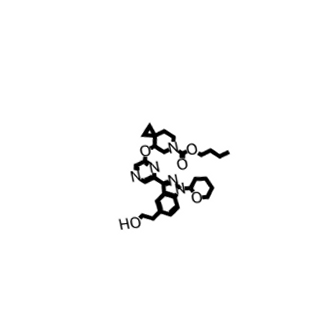 CCCCOC(=O)N1CCC2(CC2)C(Oc2cncc(-c3nn(C4CCCCO4)c4ccc(CCO)cc34)n2)C1